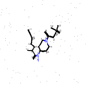 C=C(NC1CCN(C(=C)CC(C)(C)C)CC1)C(C)CCCC